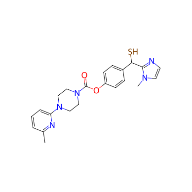 Cc1cccc(N2CCN(C(=O)Oc3ccc(C(S)c4nccn4C)cc3)CC2)n1